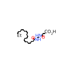 CC/C=C\C/C=C\C/C=C\C/C=C\C/C=C\C/C=C\CCC(=O)NCCNC(=O)/C=C/C(=O)O